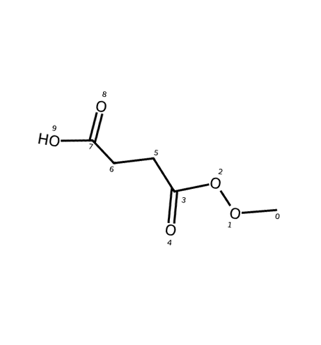 COOC(=O)CCC(=O)O